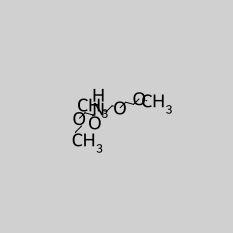 CCCOC(C)C(=O)NCCOCCOC